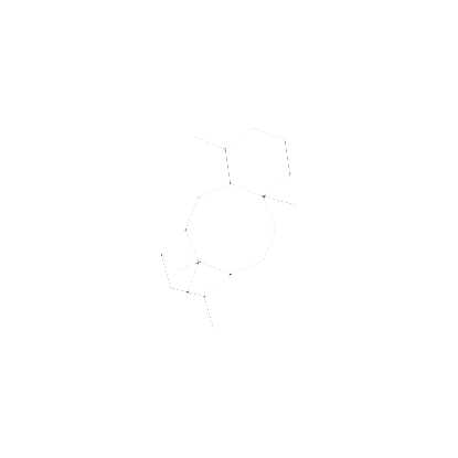 CC1CCCC2(C)CCC3C(C)CCC(CC12)C3(C)C